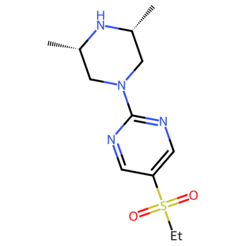 CCS(=O)(=O)c1cnc(N2C[C@@H](C)N[C@@H](C)C2)nc1